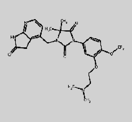 CN(C)CCOc1cc(N2C(=O)N(Cc3ccnc4c3CC(=O)N4)C(C)(C)C2=O)ccc1OC(F)(F)F